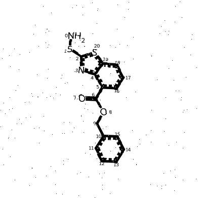 NSc1nc2c(C(=O)OCc3ccccc3)cccc2s1